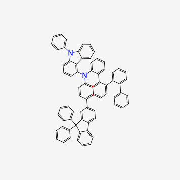 c1ccc(-c2ccccc2-c2ccccc2-c2ccccc2N(c2ccc(-c3ccc4c(c3)C(c3ccccc3)(c3ccccc3)c3ccccc3-4)cc2)c2cccc3c2c2ccccc2n3-c2ccccc2)cc1